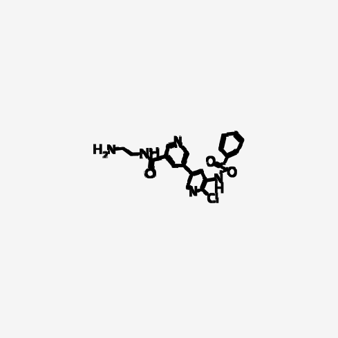 NCCNC(=O)c1cncc(-c2cnc(Cl)c(NS(=O)(=O)c3ccccc3)c2)c1